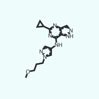 COCCCn1cc(Nc2nc(C3CC3)nc3cn[nH]c23)cn1